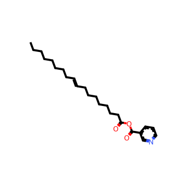 CCCCCCCCC=CCCCCCCCC(=O)OC(=O)c1cccnc1